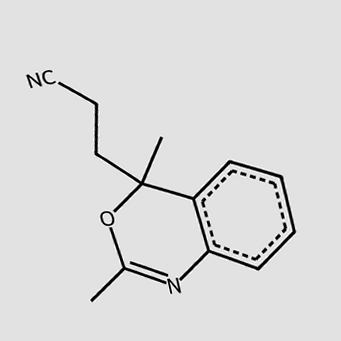 CC1=Nc2ccccc2C(C)(CCC#N)O1